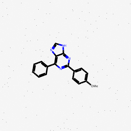 COc1ccc(-c2nc(-c3ccccc3)c3nc[nH]c3n2)cc1